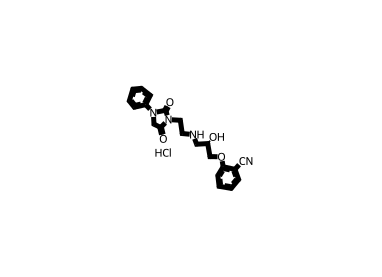 Cl.N#Cc1ccccc1OC[C@@H](O)CNCCN1C(=O)CN(c2ccccc2)C1=O